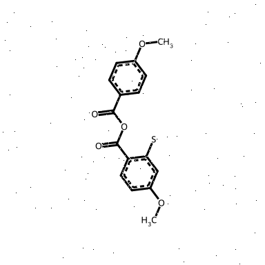 COc1ccc(C(=O)OC(=O)c2ccc(OC)cc2[S])cc1